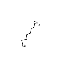 CCCCCC[CH2][La]